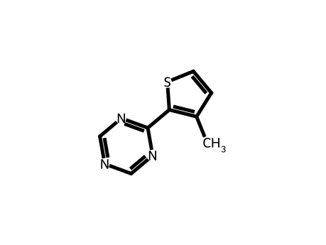 Cc1ccsc1-c1ncncn1